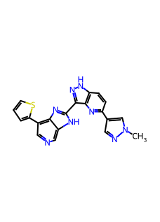 Cn1cc(-c2ccc3[nH]nc(-c4nc5c(-c6cccs6)cncc5[nH]4)c3n2)cn1